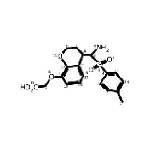 Cc1ccc(S(=O)(=O)C(N)C2CCOc3c(OCC(=O)O)cccc32)cc1